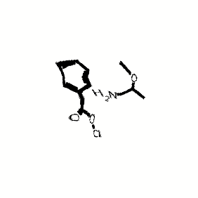 COC(C)N.O=C(OCl)c1ccccc1